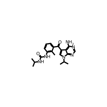 Cc1c(NC(=O)NC(C)C)cccc1C(=O)c1cn(C(C)C)c2ncnc(N)c12